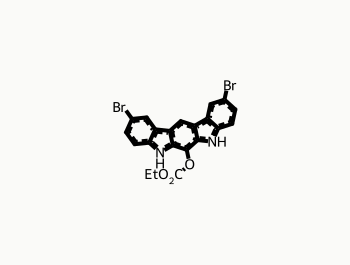 CCOC(=O)Oc1c2[nH]c3ccc(Br)cc3c2cc2c1[nH]c1ccc(Br)cc12